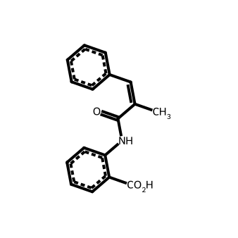 CC(=Cc1ccccc1)C(=O)Nc1ccccc1C(=O)O